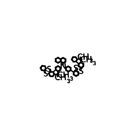 CC1(C)c2cc(N(c3ccc(-c4cccc5c4Sc4c(ccc6c4-c4ccccc4C6(C)C)S5)cc3)c3cccc4ccccc34)ccc2-c2c1ccc1c2Sc2ccccc2S1